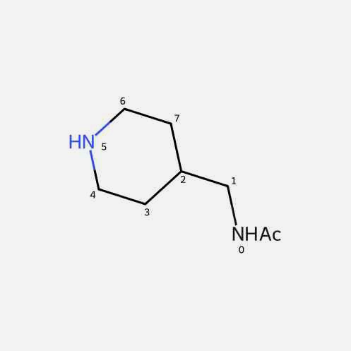 CC(=O)NCC1CCNCC1